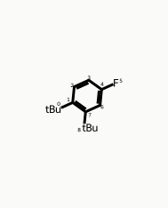 CC(C)(C)c1ccc(F)cc1C(C)(C)C